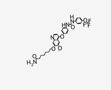 COc1cc2c(Oc3ccc(NC(=O)Nc4ccc(OC(F)(F)F)cc4)cc3)ccnc2cc1OCCCCCCC(N)=O